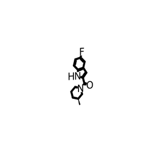 C[C@H]1CCCN(C(=O)c2cc3cc(F)ccc3[nH]2)C1